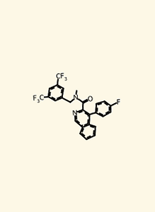 CN(Cc1cc(C(F)(F)F)cc(C(F)(F)F)c1)C(=O)c1ncc2ccccc2c1-c1ccc(F)cc1